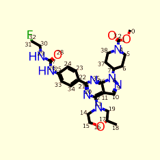 COC(=O)N1CCC(n2ncc3c(N4CCOC(C)C4)nc(-c4ccc(NC(=O)NCCF)cc4)nc32)CC1